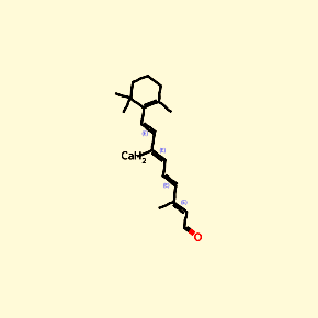 CC1=C(/C=C/C(C)=C/C=C/C(C)=C/C=O)C(C)(C)CCC1.[CaH2]